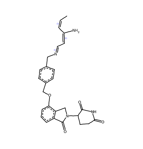 C\C=C/C(N)=C\C=N\Cc1ccc(COc2cccc3c2CN(C2CCC(=O)NC2=O)C3=O)cc1